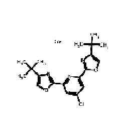 CC(C)(C)c1coc(-c2cc(Cl)cc(-c3nc(C(C)(C)C)co3)n2)n1.[Co]